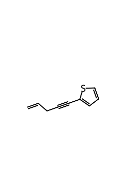 C=CCC#Cc1cccs1